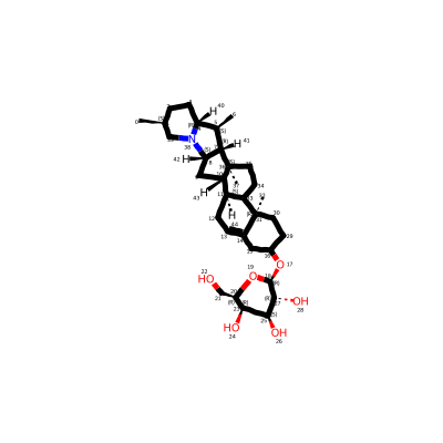 C[C@H]1CC[C@@H]2[C@@H](C)[C@H]3[C@H](C[C@H]4[C@@H]5CC=C6CC(O[C@@H]7O[C@H](CO)[C@H](O)[C@H](O)[C@H]7O)CC[C@]6(C)C5CC[C@]34C)N2C1